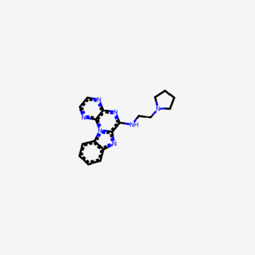 c1ccc2c(c1)nc1c(NCCN3CCCC3)nc3nccnc3n12